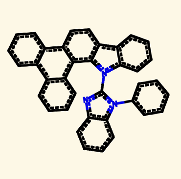 c1ccc(-n2c(-n3c4ccccc4c4ccc5c6ccccc6c6ccccc6c5c43)nc3ccccc32)cc1